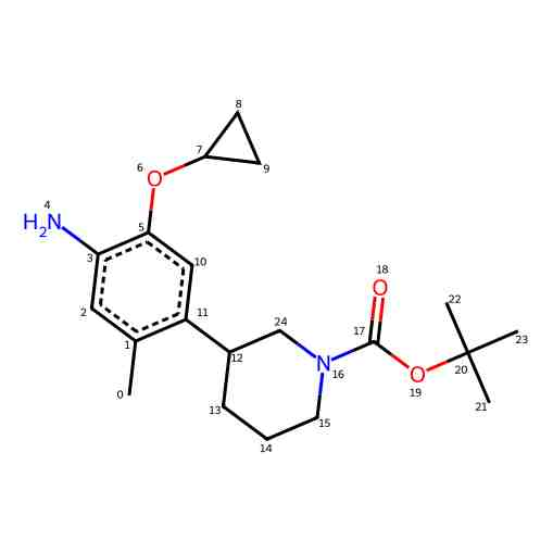 Cc1cc(N)c(OC2CC2)cc1C1CCCN(C(=O)OC(C)(C)C)C1